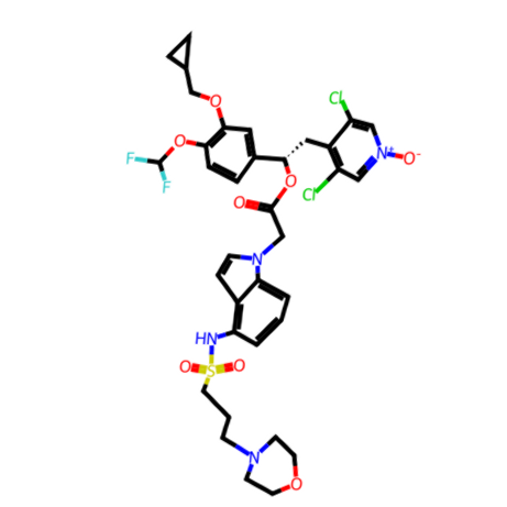 O=C(Cn1ccc2c(NS(=O)(=O)CCCN3CCOCC3)cccc21)O[C@@H](Cc1c(Cl)c[n+]([O-])cc1Cl)c1ccc(OC(F)F)c(OCC2CC2)c1